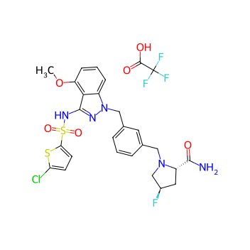 COc1cccc2c1c(NS(=O)(=O)c1ccc(Cl)s1)nn2Cc1cccc(CN2C[C@H](F)C[C@H]2C(N)=O)c1.O=C(O)C(F)(F)F